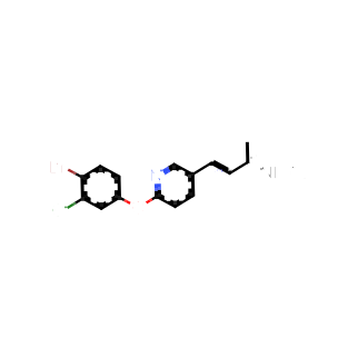 CC(=O)N[C@@H](C)/C=C/c1ccc(Oc2ccc(Br)c(Cl)c2)nc1